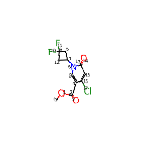 COC(=O)c1cn(C2CC(F)(F)C2)c(=O)cc1Cl